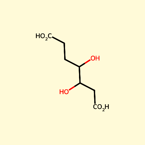 O=C(O)CCC(O)C(O)CC(=O)O